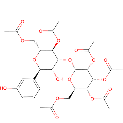 CC(=O)OC[C@H]1O[C@H](O[C@@H]2[C@H](O)[C@@H](c3cccc(O)c3)O[C@H](COC(C)=O)[C@H]2OC(C)=O)[C@H](OC(C)=O)[C@H](OC(C)=O)[C@@H]1OC(C)=O